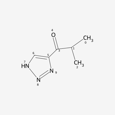 CC(C)C(=O)c1c[nH]nn1